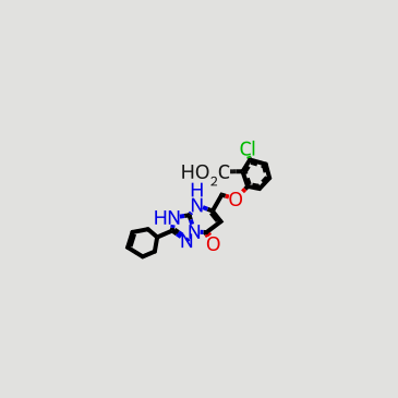 O=C(O)c1c(Cl)cccc1OCC1=CC(=O)N2N=C(C3CC=CCC3)NC2N1